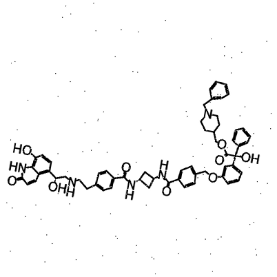 O=C(N[C@H]1C[C@H](NC(=O)c2ccc(COc3cccc([C@](O)(C(=O)OCC4CCN(Cc5ccccc5)CC4)c4ccccc4)c3)cc2)C1)c1ccc(CCNC[C@H](O)c2ccc(O)c3[nH]c(=O)ccc23)cc1